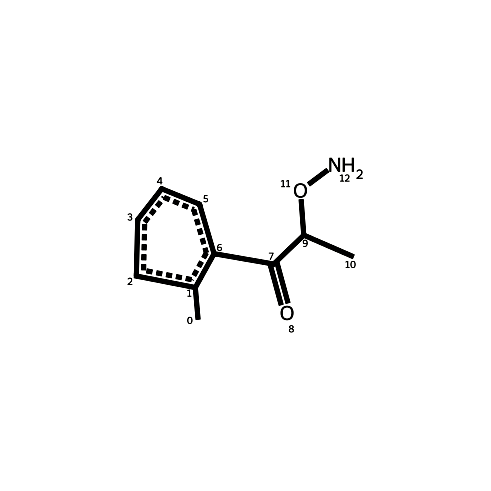 Cc1ccccc1C(=O)C(C)ON